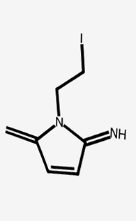 C=C1C=CC(=N)N1CCI